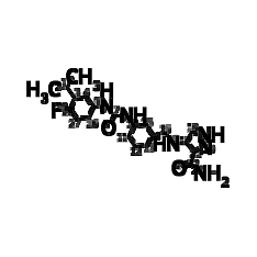 CC(C)c1cc(NC(=O)Nc2cccc(CNc3c[nH]nc3C(N)=O)c2)ccc1F